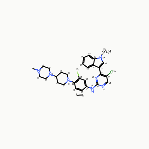 CC.CN1CCN(C2CCN(c3ccc(Nc4ncc(Cl)c(-c5cn(S(=O)(=O)O)c6ccccc56)n4)cc3F)CC2)CC1